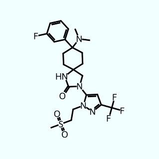 CN(C)C1(c2cccc(F)c2)CCC2(CC1)CN(c1cc(C(F)(F)F)nn1CCS(C)(=O)=O)C(=O)N2